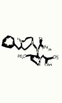 CCOC(=O)c1cnn(CC(C)O)c1N(C(N)=O)N1CCNC(Cc2ccccc2)C1